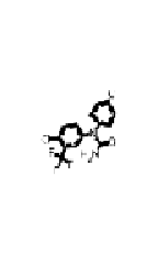 NC(=O)N(c1ccc(Cl)cc1)c1ccc(Cl)c(C(F)(F)F)c1